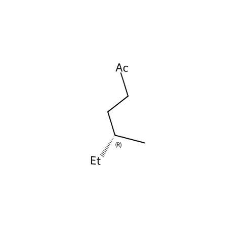 CC[C@@H](C)CCC(C)=O